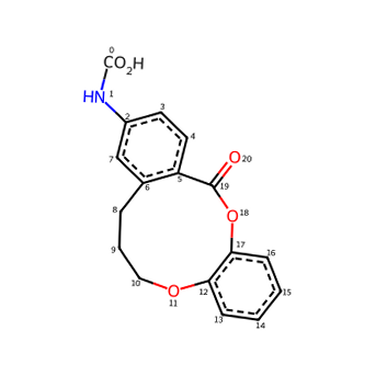 O=C(O)Nc1ccc2c(c1)CCCOc1ccccc1OC2=O